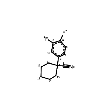 N#CC1(c2ccc(F)c(F)c2)CCCCC1